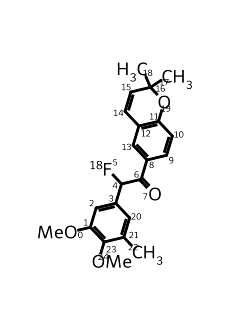 COc1cc(C([18F])C(=O)c2ccc3c(c2)C=CC(C)(C)O3)cc(C)c1OC